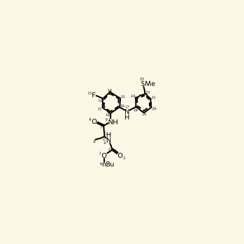 CCCCOC(=O)NC(C)C(=O)Nc1cc(F)ccc1Nc1cccc(SC)c1